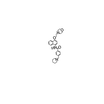 O=C(Nc1ccc(OCCN2CCOCC2)c2ccccc12)c1ccc(CN2CCCCC2)cc1